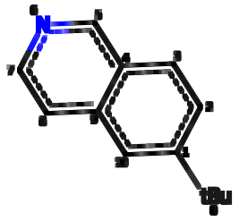 CC(C)(C)c1ccc2cnccc2c1